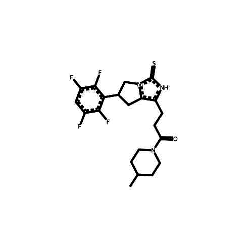 CC1CCN(C(=O)CCc2[nH]c(=S)n3c2CC(c2c(F)c(F)cc(F)c2F)C3)CC1